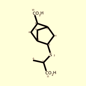 CC(SC1CC2CC1CC2C(=O)O)C(=O)O